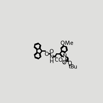 COc1ccc2c(c1)c(C[C@H](NC(=O)OCC1c3ccccc3-c3ccccc31)C(=O)O)cn2CC(=O)OC(C)(C)C